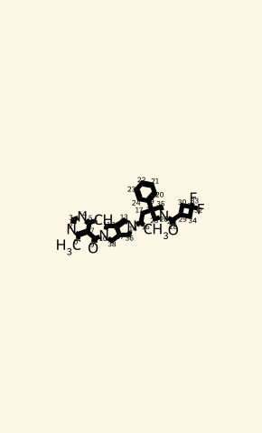 Cc1ncnc(C)c1C(=O)N1CC2=CN(C(C)CC3(c4ccccc4)CN(C(=O)C4CC(F)(F)C4)C3)CC2C1